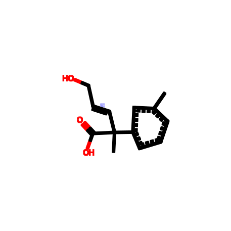 Cc1cccc(C(C)(/C=C/CO)C(=O)O)c1